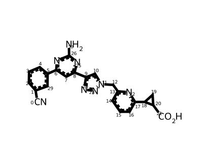 N#Cc1cccc(-c2cc(-c3cn(Cc4cccc(C5CC5C(=O)O)n4)nn3)nc(N)n2)c1